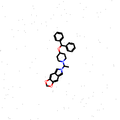 CC(N1CCC(OC(c2ccccc2)c2ccccc2)CC1)n1cc2cc3c(cc2c1)OCO3